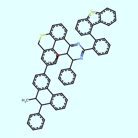 CCC1C(c2cccc3c2-c2ccc(-c4ccc5c(c4)-c4ccccc4C(c4ccccc4)C5C)cc2CS3)=NC(c2ccccc2-c2cccc3sc4ccccc4c23)=NC1c1ccccc1